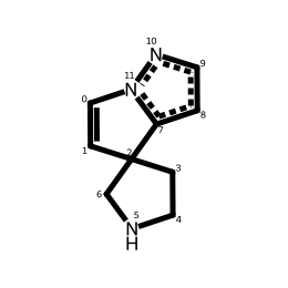 C1=CC2(CCNC2)c2ccnn21